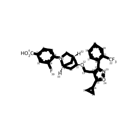 O=C(O)c1ccc(N2C[C@@H]3C[C@H]2C[C@H]3OCc2c(-c3ccccc3C(F)(F)F)noc2C2CC2)c(F)c1